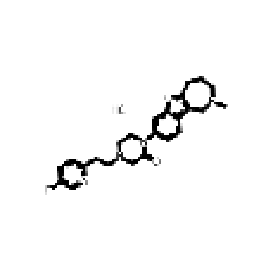 CN1CCCc2oc3cc(N4CCN(CCc5ccc(F)cn5)CC4=O)ccc3c2C1.Cl